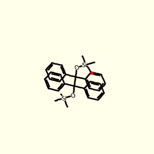 C[Si](C)(C)OC(c1ccccc1)(c1ccccc1)C(O[Si](C)(C)C)(c1ccccc1)c1ccccc1